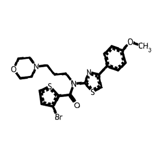 COc1ccc(-c2csc(N(CCCN3CCOCC3)C(=O)c3sccc3Br)n2)cc1